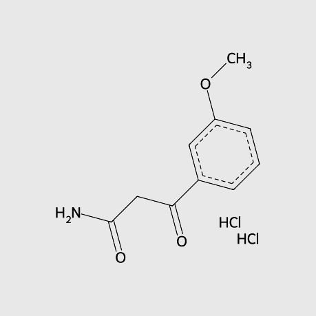 COc1cccc(C(=O)CC(N)=O)c1.Cl.Cl